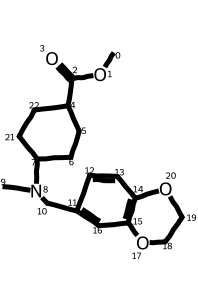 COC(=O)C1CCC(N(C)Cc2ccc3c(c2)OCCO3)CC1